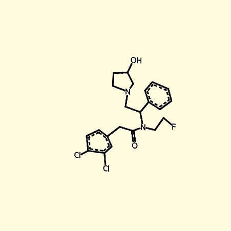 O=C(Cc1ccc(Cl)c(Cl)c1)N(CCF)C(CN1CCC(O)C1)c1ccccc1